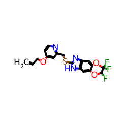 C=CCOc1ccnc(CSc2nc3cc4c(cc3[nH]2)OC(F)C(F)(F)O4)c1